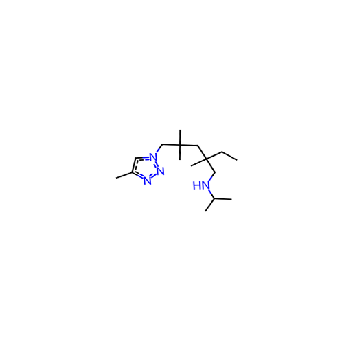 CCC(C)(CNC(C)C)CC(C)(C)Cn1cc(C)nn1